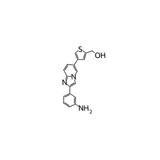 Nc1cccc(-c2cn3cc(-c4csc(CO)c4)ccc3n2)c1